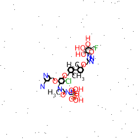 Cc1c(COc2cc(OCc3cncc(C#N)c3)c(CN(C)CC(=O)NCC(S(=O)(=O)O)S(=O)(=O)O)cc2Cl)cccc1-c1cccc(OCc2cn([C@@H]3O[C@H](CF)[C@@H](O)[C@H](O)[C@H]3O)nn2)c1C